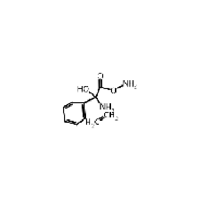 C=C.NOC(=O)C(N)(O)c1ccccc1